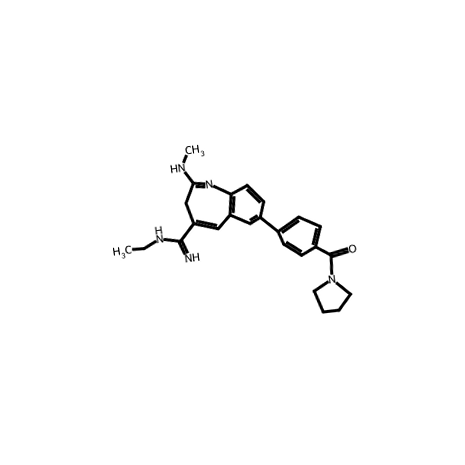 CCNC(=N)C1=Cc2cc(-c3ccc(C(=O)N4CCCC4)cc3)ccc2N=C(NC)C1